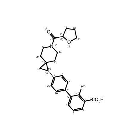 O=C(O)c1cccc(-c2ccc([C@@H]3CC34CCN(C(=O)[C@H]3CCCO3)CC4)cc2)c1F